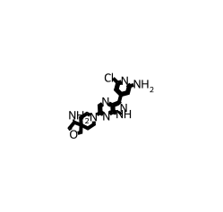 Nc1cc(-c2n[nH]c3nc(N4CCC5(CC4)COC[C@H]5N)cnc23)cc(Cl)n1